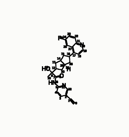 C#Cc1ccc(NC(=O)C(C)(O)C2CC3CC(c4ccnc5ccc(F)cc45)C[C@H]3C2)nc1